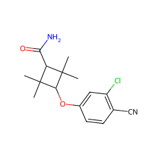 CC1(C)C(Oc2ccc(C#N)c(Cl)c2)C(C)(C)C1C(N)=O